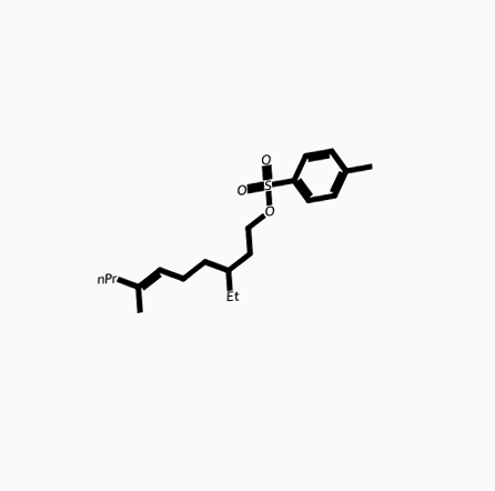 CCCC(C)=CCCC(CC)CCOS(=O)(=O)c1ccc(C)cc1